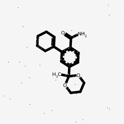 CC1(c2ccc(C(N)=O)c(C3=CCCCC3)c2)OCCCO1